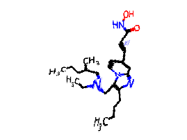 CCCCC1N=C2C=C(/C=C/C(=O)NO)C=CN2C1CN(CC)CC(C)CCC